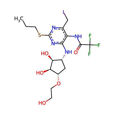 CCCSc1nc(CI)c(NC(=O)C(F)(F)F)c(N[C@@H]2C[C@H](OCCO)[C@@H](O)[C@H]2O)n1